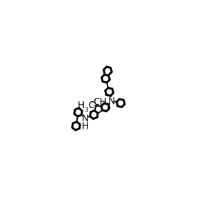 CC1(C)c2cc(Nc3ccccc3-c3ccccc3)ccc2-c2ccc(N(c3ccccc3)c3ccc(-c4ccc5ccccc5c4)cc3)cc21